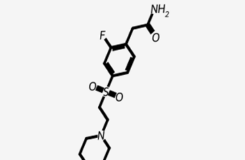 NC(=O)Cc1ccc(S(=O)(=O)CCN2CCCCC2)cc1F